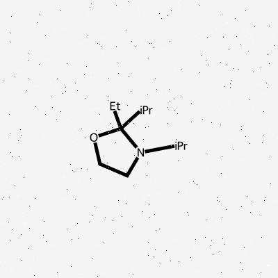 CCC1(C(C)C)OCCN1C(C)C